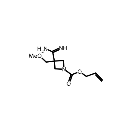 C=CCOC(=O)N1CC(COC)(C(=N)N)C1